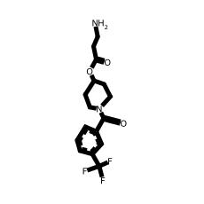 NCCC(=O)OC1CCN(C(=O)c2cccc(C(F)(F)F)c2)CC1